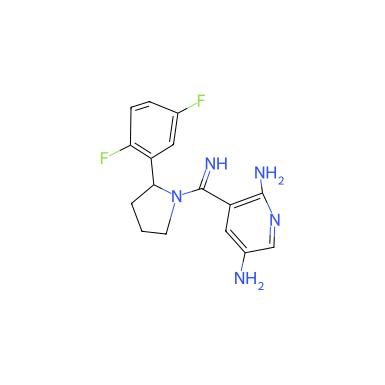 N=C(c1cc(N)cnc1N)N1CCCC1c1cc(F)ccc1F